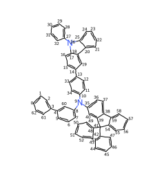 c1ccc(-c2cccc(N(c3ccc(-c4ccc5c(c4)c4ccccc4n5-c4ccccc4)cc3)c3ccc4c(c3)C(c3ccccc3)(c3ccccc3)c3ccccc3-4)c2)cc1